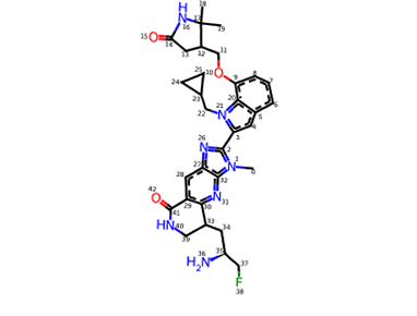 Cn1c(-c2cc3cccc(OCC4CC(=O)NC4(C)C)c3n2CC2CC2)nc2cc3c(nc21)C(C[C@H](N)CF)CNC3=O